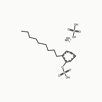 CCCCCCCCCc1ccccc1OS(=O)(=O)O.N.N.O=S(=O)(O)O